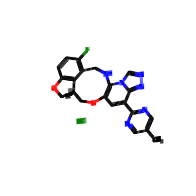 Cc1cnc(-c2cc3c(n4cnnc24)NCc2c(F)ccc4c2[C@@H](CO4)CO3)nc1.Cl